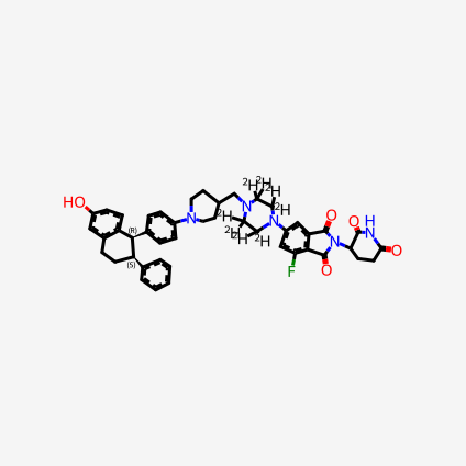 [2H]C1([2H])N(CC2CCN(c3ccc([C@@H]4c5ccc(O)cc5CC[C@@H]4c4ccccc4)cc3)CC2)C([2H])([2H])C([2H])([2H])N(c2cc(F)c3c(c2)C(=O)N(C2CCC(=O)NC2=O)C3=O)C1([2H])[2H]